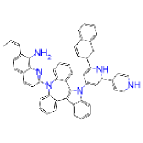 C/C=C\c1ccc2ccc(N3c4ccccc4-c4c(n(C5=CC(C6=CCNC=C6)NC(C6C=Cc7ccccc7C6)=C5)c5ccccc45)-c4ccccc43)nc2c1N